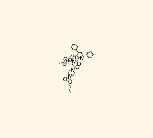 CCCCOC(=O)N1CCN(C(=O)[C@H](CP(=O)(OCC)OCC)NC(=O)c2cc(-c3ccccc3)cc(-c3ccc(C)cc3)n2)CC1